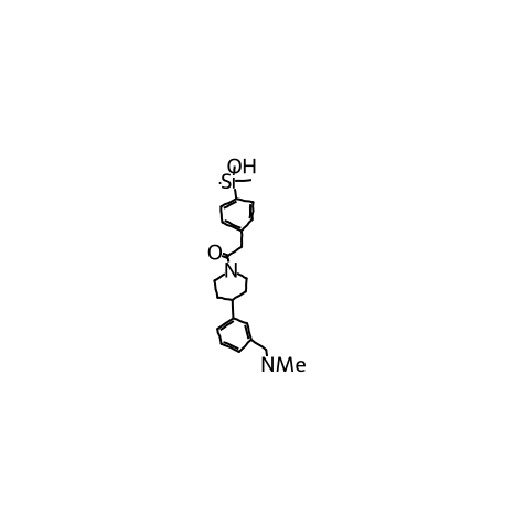 CNCc1cccc(C2CCN(C(=O)Cc3ccc([Si](C)(C)O)cc3)CC2)c1